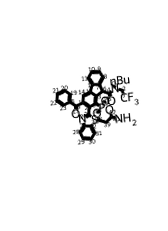 CCCCN(CC(F)(F)F)C(=O)C1c2ccccc2-c2cc(C(=O)c3ccccc3)c(-c3nc4ccccc4s3)c(P3(=O)OCCC(N)O3)c21